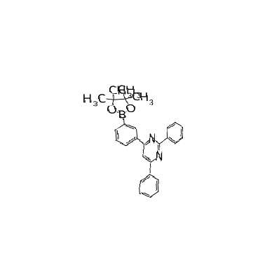 CC1(C)OB(c2cccc(-c3cc(-c4ccccc4)nc(-c4ccccc4)n3)c2)OC1(C)C